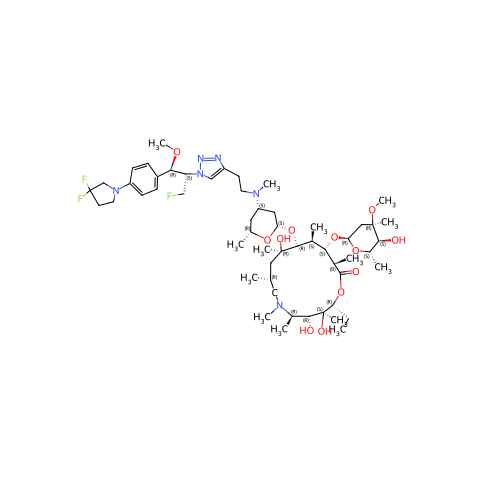 CC[C@H]1OC(=O)[C@H](C)[C@@H](O[C@H]2C[C@@](C)(OC)[C@@H](O)[C@H](C)O2)[C@H](C)[C@@H](O[C@H]2C[C@@H](N(C)CCc3cn([C@H](CF)[C@H](OC)c4ccc(N5CCC(F)(F)C5)cc4)nn3)C[C@@H](C)O2)[C@](C)(O)C[C@@H](C)CN(C)[C@H](C)[C@@H](O)[C@]1(C)O